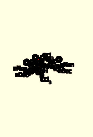 CCCCCCCCCCC[C@H](CC(=O)N[C@H](CO[C@@H]1O[C@H](COC(=O)OC(C)(C)C(Cl)(Cl)Cl)[C@@H](OP(=O)(Oc2ccccc2)Oc2ccccc2)[C@H](OC(=O)C[C@@H](CCCCCCCCCCC)OC(=O)CCCCCCCCC)[C@H]1NC(=O)OCC(Cl)(Cl)Cl)C(=O)OCc1ccccc1)OC(=O)CCCCCCCCC